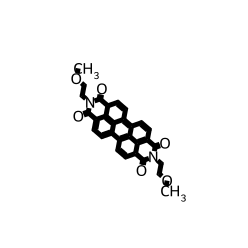 COCCN1C(=O)c2ccc3c4c5c6c(ccc5c5c3c2C(C=C5)C1=O)C(=O)N(CCOC)C(=O)C6C=C4